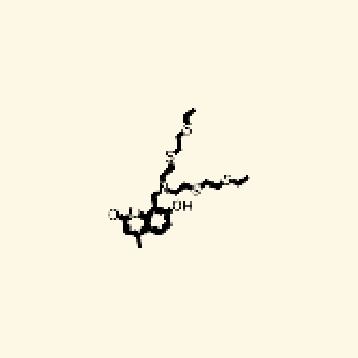 CCSCCSCCN(CCSCCSCC)Cc1c(O)ccc2c(C)cc(=O)oc12